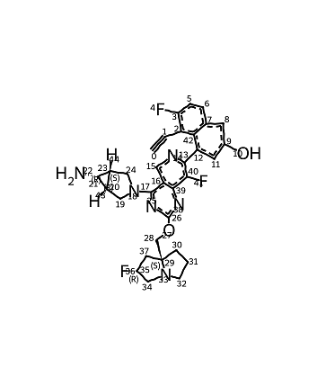 C#Cc1c(F)ccc2cc(O)cc(-c3ncc4c(N5C[C@@H]6[C@H](N)[C@@H]6C5)nc(OC[C@@]56CCCN5C[C@H](F)C6)nc4c3F)c12